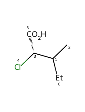 CCC(C)[C@H](Cl)C(=O)O